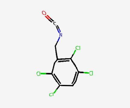 O=C=NCc1c(Cl)c(Cl)cc(Cl)c1Cl